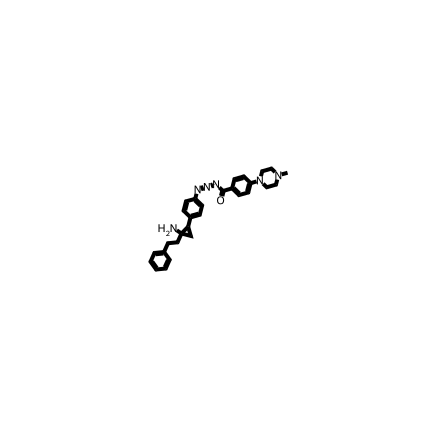 CN1CCN(c2ccc(C(=O)N=[N+]=Nc3ccc(C4CC4(N)CCc4ccccc4)cc3)cc2)CC1